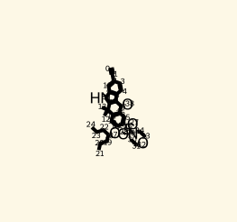 C#Cc1ccc2c3c([nH]c2c1)C(C)(C)c1cc(OC(CCC)CCC)c(S(=O)(=O)N2CCOCC2)cc1C3=O